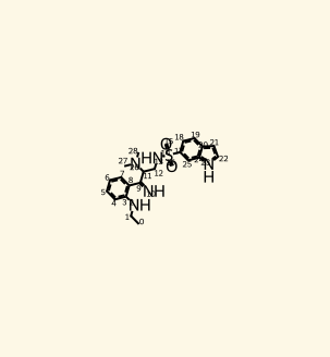 CCNc1ccccc1C(=N)C(CNS(=O)(=O)c1ccc2cc[nH]c2c1)N(C)C